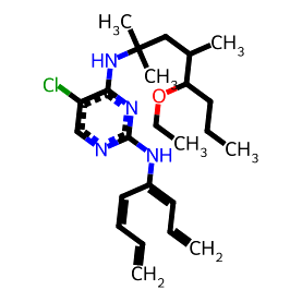 C=C/C=C\C(=C/C=C)Nc1ncc(Cl)c(NC(C)(C)CC(C)C(CCC)OCC)n1